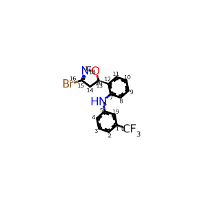 FC(F)(F)c1cccc(Nc2ccccc2[C@H]2CC(Br)=NO2)c1